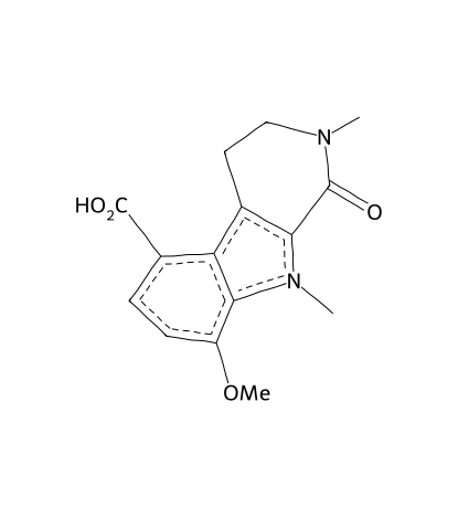 COc1ccc(C(=O)O)c2c3c(n(C)c12)C(=O)N(C)CC3